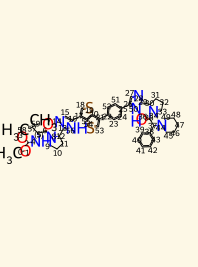 COC(=O)N[C@H](C(=O)N1CCCC1c1ncc(-c2csc3c(-c4ccc(-c5cnc(C6CCCN6C(=O)C(c6ccccc6)N6CCCCC6)[nH]5)cc4)csc23)[nH]1)C(C)C